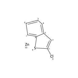 Clc1cc2ccccc2s1.[Zn]